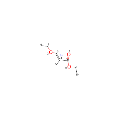 CCO/C=C(\C)C(=O)OCC